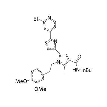 CCCCNC(=O)c1cc(-c2csc(-c3ccnc(CC)c3)n2)n(CCc2ccc(OC)c(OC)c2)c1C